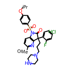 COc1ccc2c(n1)C(CCCN1CCNCC1)(c1ccccc1F)C(=O)N2S(=O)(=O)c1ccc(OC(C)C)cc1.Cl